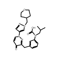 CC(C)CN(C(=O)O)c1cccc(Cc2nn(-c3cnn(CC4CCOCC4)c3)ccc2=O)c1